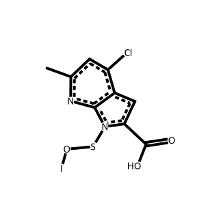 Cc1cc(Cl)c2cc(C(=O)O)n(SOI)c2n1